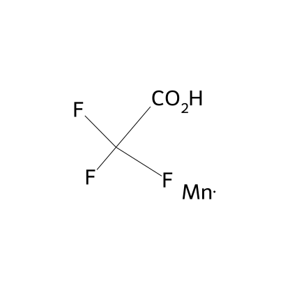 O=C(O)C(F)(F)F.[Mn]